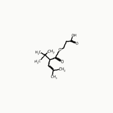 CC(C)=CC(C(=O)OCCC(=O)O)C(C)(C)C